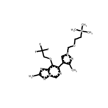 Cc1nn(COCC[Si](C)(C)C)cc1-c1ncn2nc(N)nc2c1OCC(F)(F)F